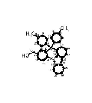 Cc1ccc(C2(c3ccc(C)cc3)c3cc(SO)ccc3-n3c4ccccc4c4cccc2c43)cc1